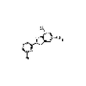 FC(F)(F)c1cc(Cl)c2c(c1)CC(c1cccc(Br)n1)O2